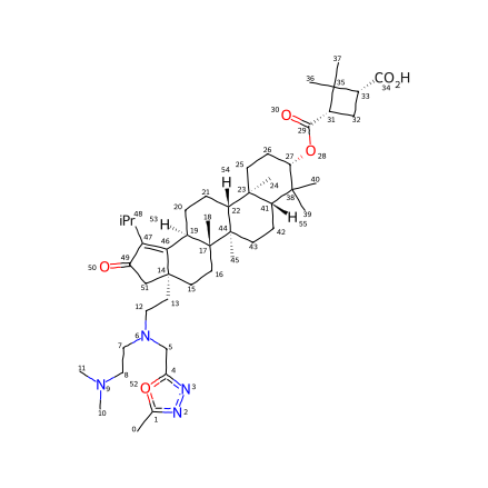 Cc1nnc(CN(CCN(C)C)CC[C@@]23CC[C@]4(C)[C@H](CC[C@@H]5[C@@]6(C)CC[C@H](OC(=O)[C@H]7C[C@@H](C(=O)O)C7(C)C)C(C)(C)[C@@H]6CC[C@]54C)C2=C(C(C)C)C(=O)C3)o1